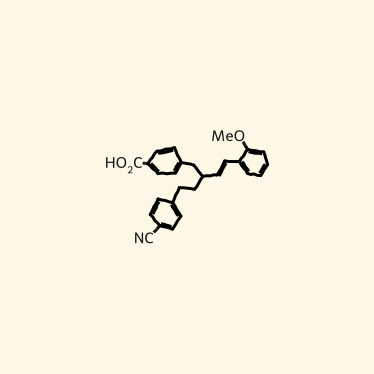 COc1ccccc1/C=C/C(CCc1ccc(C#N)cc1)Cc1ccc(C(=O)O)cc1